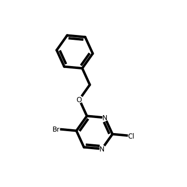 Clc1ncc(Br)c(OCc2ccccc2)n1